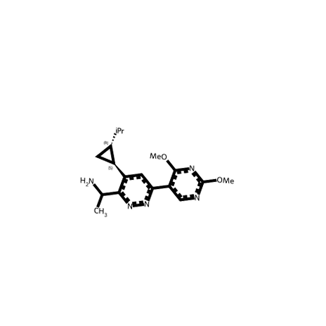 COc1ncc(-c2cc([C@H]3C[C@@H]3C(C)C)c(C(C)N)nn2)c(OC)n1